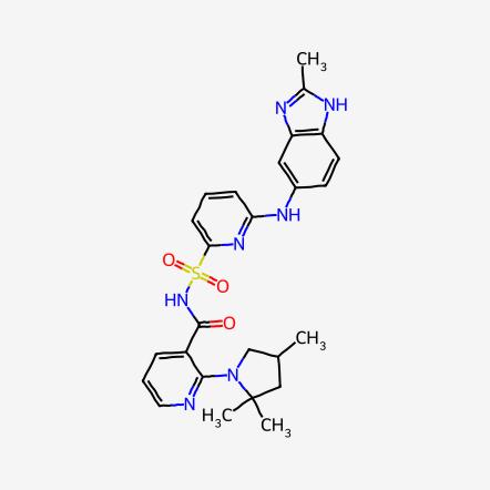 Cc1nc2cc(Nc3cccc(S(=O)(=O)NC(=O)c4cccnc4N4CC(C)CC4(C)C)n3)ccc2[nH]1